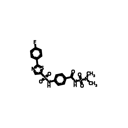 CN(C)S(=O)(=O)NC(=O)c1ccc(NS(=O)(=O)c2cnc(-c3ccc(F)cc3)s2)cc1